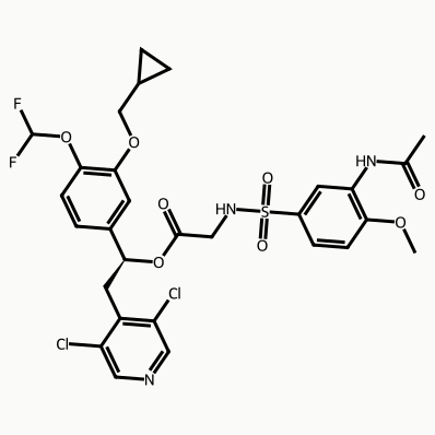 COc1ccc(S(=O)(=O)NCC(=O)O[C@@H](Cc2c(Cl)cncc2Cl)c2ccc(OC(F)F)c(OCC3CC3)c2)cc1NC(C)=O